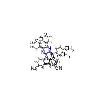 C=C/C=C\c1c(C)c2cc(C#N)ccc2n1-c1nc(-c2ccccc2)c(C2=CC=CCC2)nc1-n1c2ccccc2c2cc(C#N)ccc21